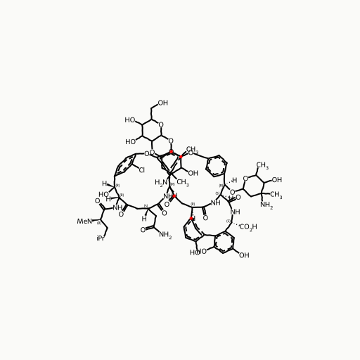 CN[C@H](CC(C)C)C(=O)N[C@H]1C(=O)C[C@@H](CC(N)=O)C(=O)N[C@H]2C(=O)C[C@H]3C(=O)N[C@H](C(=O)N[C@H](C(=O)O)c4cc(O)cc(O)c4-c4cc3ccc4O)[C@H](OC3CC(C)(N)C(O)C(C)O3)c3ccc(cc3)Oc3cc2cc(c3OC2OC(CO)C(O)C(O)C2OC2CC(C)(N)C(O)C(C)O2)Oc2ccc(cc2Cl)[C@H]1O